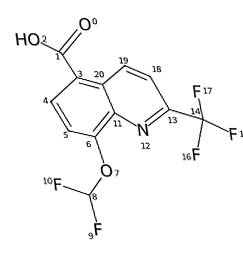 O=C(O)c1ccc(OC(F)F)c2nc(C(F)(F)F)ccc12